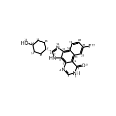 O=c1[nH]cnc2c3[nH]c([C@H]4CC[C@H](O)CC4)nc3c3ccc(F)cc3c12